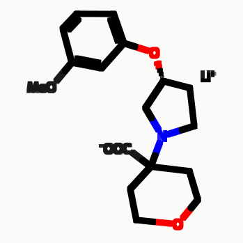 COc1cccc(O[C@@H]2CCN(C3(C(=O)[O-])CCOCC3)C2)c1.[Li+]